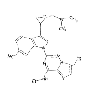 CCNc1nc(-n2cc(C3C[C@@H]3CN(C)C)c3ccc(C#N)cc32)nn2c(C#N)cnc12